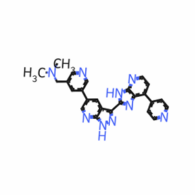 CN(C)Cc1cncc(-c2cnc3[nH]nc(-c4nc5c(-c6ccncc6)ccnc5[nH]4)c3c2)c1